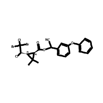 CC1(C)[C@H](C(=O)OC(C#N)c2cccc(Oc3ccccc3)c2)[C@H]1C(Cl)C(Cl)(Br)Br